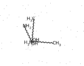 CCCCCCCCCCCCCCCC(O)C(N)(CCCCCCCCCCCN)C(O)CCCCCCCCCCCCCCC